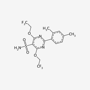 Cc1ccc(-c2nc(OCC(F)(F)F)c(S(N)(=O)=O)c(OCC(F)(F)F)n2)c(C)c1